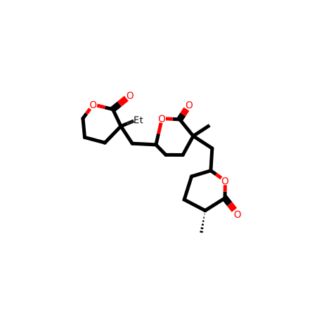 CCC1(CC2CCC(C)(CC3CC[C@@H](C)C(=O)O3)C(=O)O2)CCCOC1=O